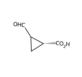 O=CC1C[C@H]1C(=O)O